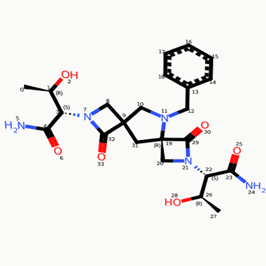 C[C@@H](O)[C@@H](C(N)=O)N1CC2(CN(Cc3ccccc3)[C@@]3(CN([C@H](C(N)=O)[C@@H](C)O)C3=O)C2)C1=O